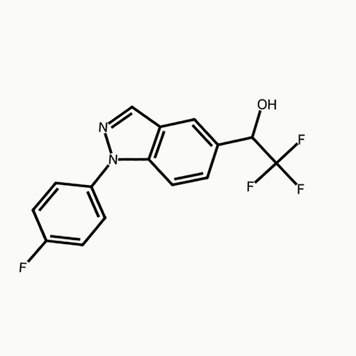 OC(c1ccc2c(cnn2-c2ccc(F)cc2)c1)C(F)(F)F